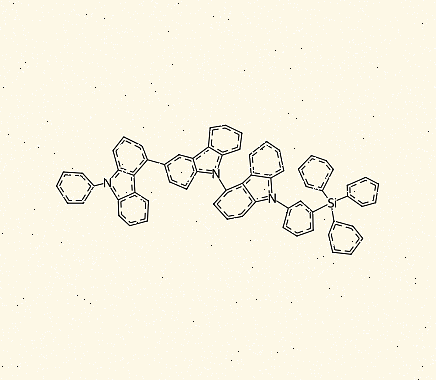 c1ccc(-n2c3ccccc3c3c(-c4ccc5c(c4)c4ccccc4n5-c4cccc5c4c4ccccc4n5-c4cccc([Si](c5ccccc5)(c5ccccc5)c5ccccc5)c4)cccc32)cc1